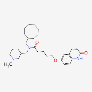 CN1CCCC(CN(CC2CCCCCCC2)C(=O)CCCCOc2ccc3[nH]c(=O)ccc3c2)C1